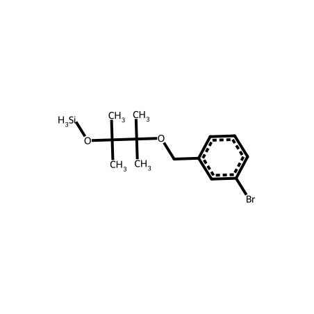 CC(C)(O[SiH3])C(C)(C)OCc1cccc(Br)c1